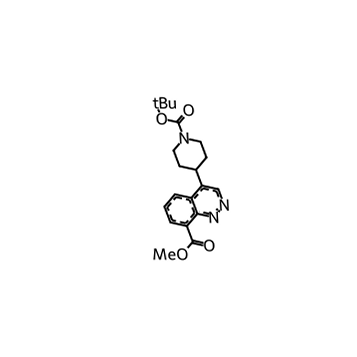 COC(=O)c1cccc2c(C3CCN(C(=O)OC(C)(C)C)CC3)cnnc12